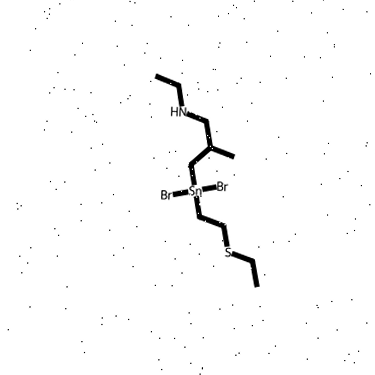 CCNCC(C)[CH2][Sn]([Br])([Br])[CH2]CSCC